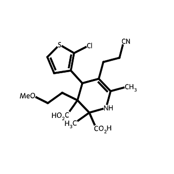 COCCC1(C(=O)O)C(c2ccsc2Cl)C(CCC#N)=C(C)NC1(C)C(=O)O